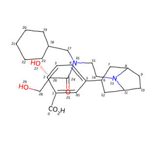 O=C(O)c1cccc(C2CC3CCC(C2)N3CCN(CC2CCCCC2)C(=O)[C@@H](O)CO)c1